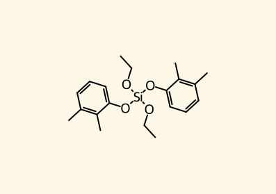 CCO[Si](OCC)(Oc1cccc(C)c1C)Oc1cccc(C)c1C